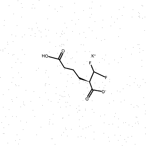 O=C(O)CCC[C@H](C(=O)[O-])C(F)F.[K+]